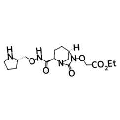 CCOC(=O)CON1C(=O)N2C[C@H]1CC[C@@H]2C(=O)NOC[C@@H]1CCCN1